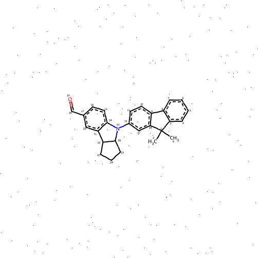 CC1(C)c2ccccc2-c2ccc(N3c4ccc(C=O)cc4C4CCCC43)cc21